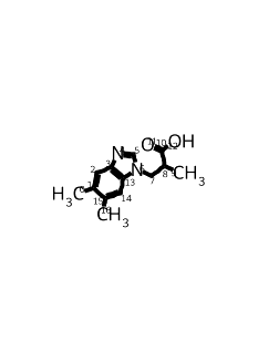 Cc1cc2ncn(CC(C)C(=O)O)c2cc1C